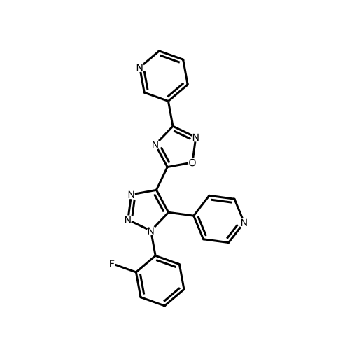 Fc1ccccc1-n1nnc(-c2nc(-c3cccnc3)no2)c1-c1ccncc1